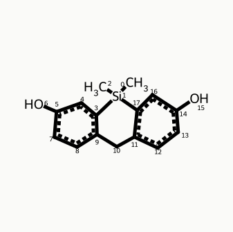 C[Si]1(C)c2cc(O)ccc2Cc2ccc(O)cc21